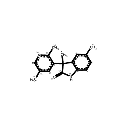 Cc1ccc2c(c1)C(C)(c1cc(C)cnc1C)C(=O)N2